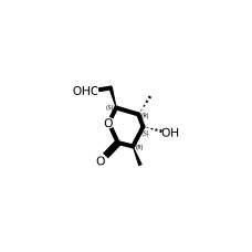 C[C@@H]1[C@H](O)[C@@H](C)C(=O)O[C@H]1CC=O